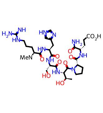 CN[C@@H](CCCNC(=N)N)C(=O)N[C@@H](Cc1c[nH]cn1)C(=O)N[C@@H](CO)C(=O)N[C@H](C(=O)N1CCC[C@H]1C(=O)N[C@@H](CCC(=O)O)C(N)=O)[C@@H](C)O